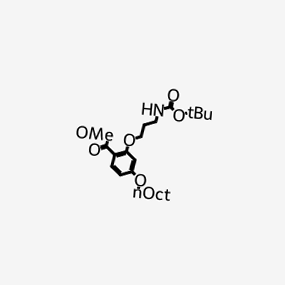 CCCCCCCCOc1ccc(C(=O)OC)c(OCCCNC(=O)OC(C)(C)C)c1